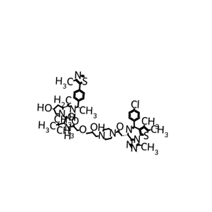 C=C(N[C@@H](C)c1ccc(-c2scnc2C)cc1)[C@@H]1C[C@@H](O)CN1C(=O)[C@@H](NC(=O)COC[C@@H](O)CN1CCN(C(=O)C[C@@H]2N=C(c3ccc(Cl)cc3)c3c(sc(C)c3C)-n3c(C)nnc32)CC1)C(C)(C)C